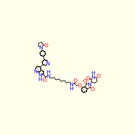 O=C(COc1cccc2c1C(=O)N(C1CCC(=O)NC1=O)C2=O)NCCCCCCCCNC(=O)c1cc2c(-c3cncc(-c4ccc(N5CCCC5=O)cc4)c3)ccnc2[nH]1